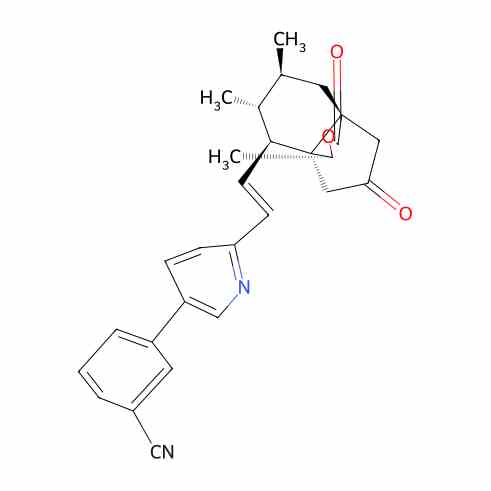 C[C@@H]1[C@@H](C)C[C@]23CC(=O)C[C@]2([C@@H](C)OC3=O)[C@H]1/C=C/c1ccc(-c2cccc(C#N)c2)cn1